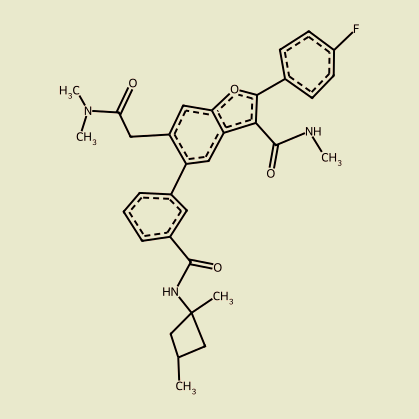 CNC(=O)c1c(-c2ccc(F)cc2)oc2cc(CC(=O)N(C)C)c(-c3cccc(C(=O)NC4(C)CC(C)C4)c3)cc12